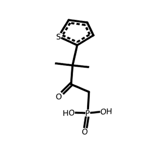 CC(C)(C(=O)CP(=O)(O)O)c1cccs1